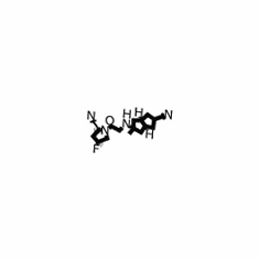 CC1(NCC(=O)N2C[C@@H](F)C[C@H]2C#N)C[C@H]2CC(C#N)C[C@H]2C1